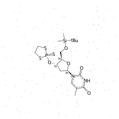 Cc1cn([C@H]2C[C@H](OP3(=S)SCCS3)[C@@H](CO[Si](C)(C)C(C)(C)C)O2)c(=O)[nH]c1=O